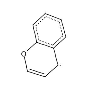 [c]1ccc2c(c1)OC=C[CH]2